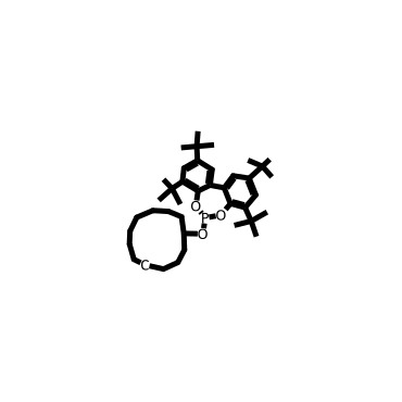 CC(C)(C)c1cc(C(C)(C)C)c2op(OC3CCCCCCCCCCC3)oc3c(C(C)(C)C)cc(C(C)(C)C)cc3c2c1